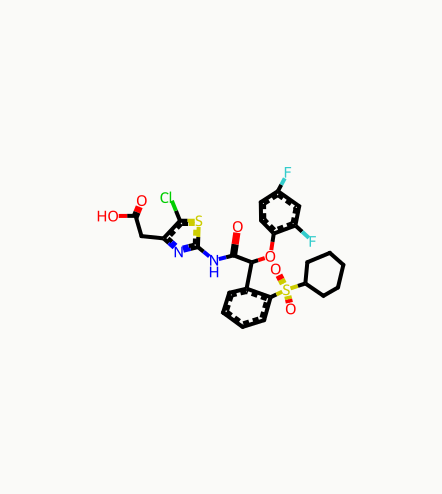 O=C(O)Cc1nc(NC(=O)C(Oc2ccc(F)cc2F)c2ccccc2S(=O)(=O)C2CCCCC2)sc1Cl